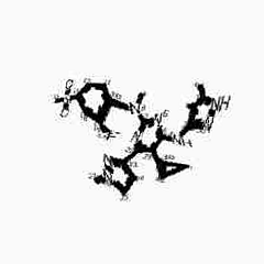 Cc1cc(Nc2nc(N(C)c3ccc(S(C)(=O)=O)cc3F)nc(-c3ccn(C)n3)c2C2CC2)n[nH]1